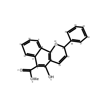 COC(=O)c1c(O)c2c(c3ccccc13)OC(c1ccccc1)C=C2